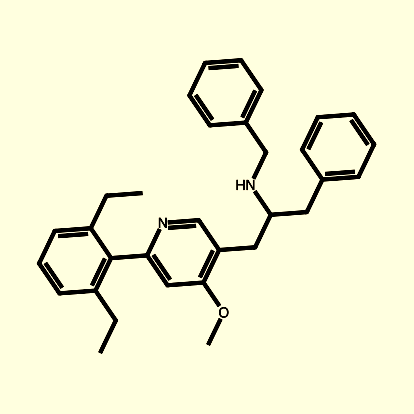 CCc1cccc(CC)c1-c1cc(OC)c(CC(Cc2ccccc2)NCc2ccccc2)cn1